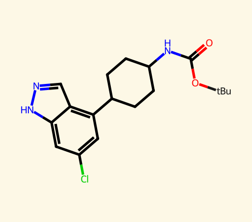 CC(C)(C)OC(=O)NC1CCC(c2cc(Cl)cc3[nH]ncc23)CC1